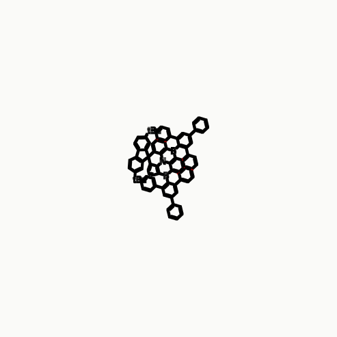 CC(C)(C)c1ccc2c(c1)C1(c3cc(C(C)(C)C)ccc3-2)c2cccc3c2N2c4c(cccc4B(c4c(-c5ccccc5)cc(-c5ccccc5)cc4-c4ccccc4)c4cccc1c42)B3c1c(-c2ccccc2)cc(-c2ccccc2)cc1-c1ccccc1